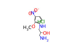 COc1cc([N+](=O)[O-])ccc1NCC(O)CN.Cl